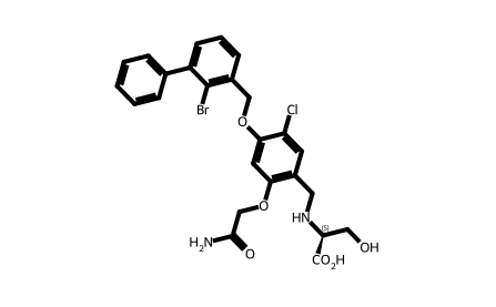 NC(=O)COc1cc(OCc2cccc(-c3ccccc3)c2Br)c(Cl)cc1CN[C@@H](CO)C(=O)O